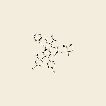 CC(=O)Nc1c(C(C)=O)c(=O)n(Cc2ccncc2)c2nc(-c3ccc(Cl)cc3Cl)c(-c3ccc(Cl)cc3)cc12.O=C(O)C(F)(F)F